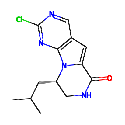 CC(C)C[C@H]1CNC(=O)c2cc3cnc(Cl)nc3n21